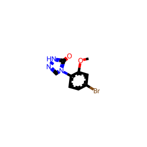 COc1cc(Br)ccc1-n1cn[nH]c1=O